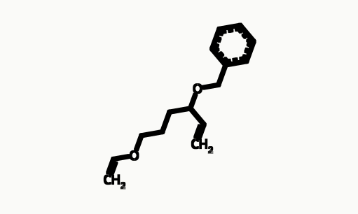 C=COCCCC(C=C)OCc1ccccc1